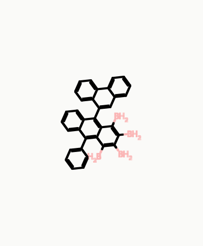 Bc1c(B)c(B)c2c(-c3cc4ccccc4c4ccccc34)c3ccccc3c(-c3ccccc3)c2c1B